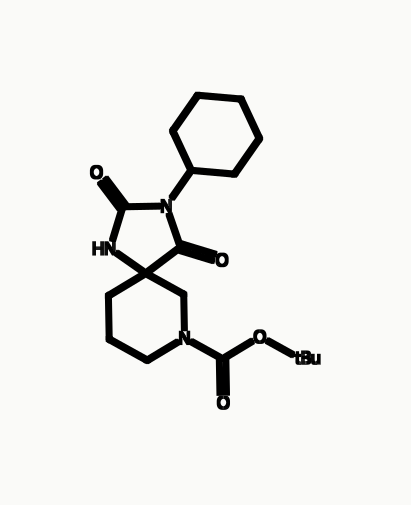 CC(C)(C)OC(=O)N1CCCC2(C1)NC(=O)N(C1CCCCC1)C2=O